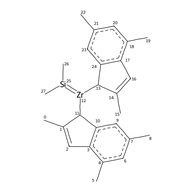 CC1=Cc2c(C)cc(C)cc2[CH]1[Zr]([CH]1C(C)=Cc2c(C)cc(C)cc21)=[Si](C)C